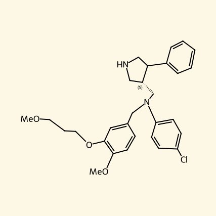 COCCCOc1cc(CN(C[C@@H]2CNCC2c2ccccc2)c2ccc(Cl)cc2)ccc1OC